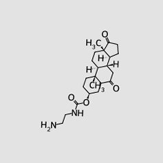 C[C@]12CC[C@H](OC(=O)NCCN)CC1C(=O)C[C@@H]1[C@@H]2CC[C@]2(C)C(=O)CC[C@@H]12